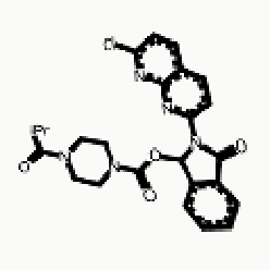 CC(C)C(=O)N1CCN(C(=O)OC2c3ccccc3C(=O)N2c2ccc3ccc(Cl)nc3n2)CC1